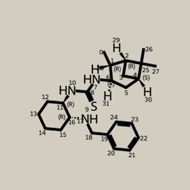 C[C@@H]1[C@H]2C[C@@H](C[C@H]1NC(=S)N[C@@H]1CCCC[C@H]1NCc1ccccc1)C2(C)C